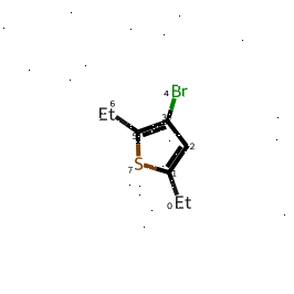 CCc1cc(Br)c(CC)s1